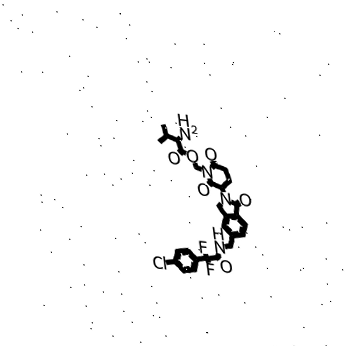 CC(C)C(N)C(=O)OCN1C(=O)CCC(N2Cc3cc(CNC(=O)C(F)(F)c4ccc(Cl)cc4)ccc3C2=O)C1=O